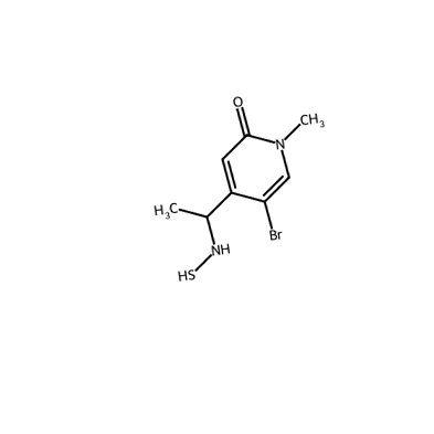 CC(NS)c1cc(=O)n(C)cc1Br